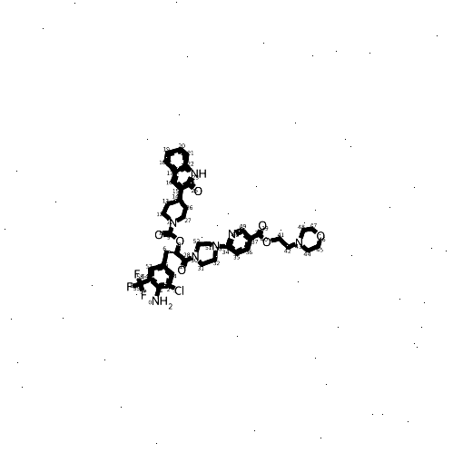 Nc1c(Cl)cc(C[C@@H](OC(=O)N2CCC(c3cc4ccccc4[nH]c3=O)CC2)C(=O)N2CCN(c3ccc(C(=O)OCCN4CCOCC4)cn3)CC2)cc1C(F)(F)F